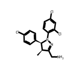 C[C@@H]1C(CN)=NN(c2ccc(Cl)cc2Cl)[C@@H]1c1ccc(Cl)cc1